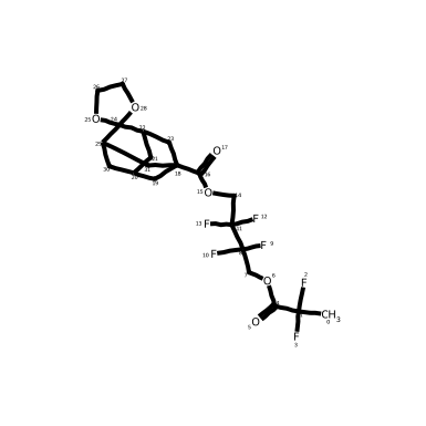 CC(F)(F)C(=O)OCC(F)(F)C(F)(F)COC(=O)C12CC3CC(C1)C1(OCCO1)C(C3)C2